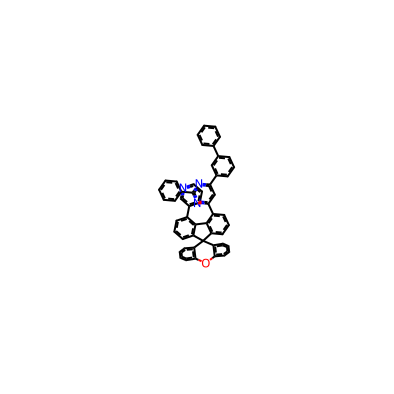 c1ccc(-c2cccc(-c3cc(-c4cccc5c4-c4c(-c6cccnc6)cccc4C54c5ccccc5Oc5ccccc54)nc(-c4ccccc4)n3)c2)cc1